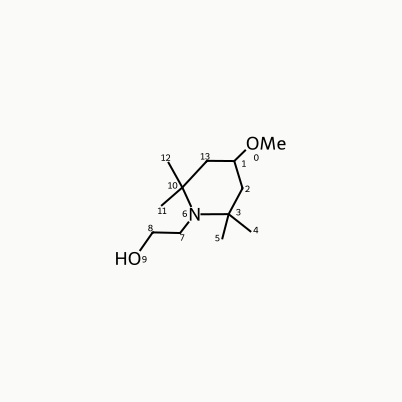 COC1CC(C)(C)N(CCO)C(C)(C)C1